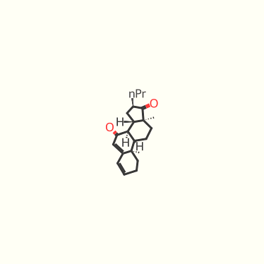 CCC[C@@H]1C[C@H]2[C@@H]3C(=O)C=C4C=CCC[C@]4(C)[C@H]3CC[C@]2(C)C1=O